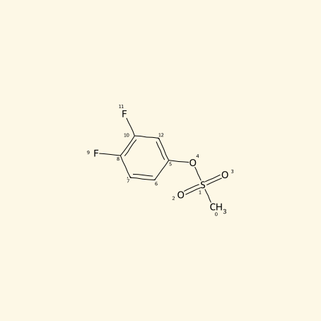 CS(=O)(=O)Oc1c[c]c(F)c(F)c1